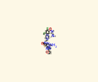 CN(C)CCN(C)C(=O)c1cc(N2CCN(CCn3c(=O)sc4c3nc(N)n3nc(-c5ccco5)nc43)CC2)c(F)cc1F